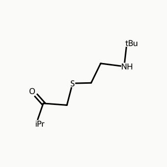 CC(C)C(=O)CSCCNC(C)(C)C